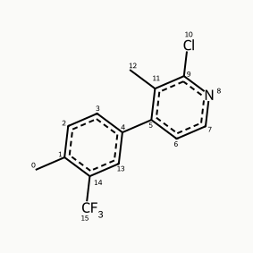 Cc1ccc(-c2ccnc(Cl)c2C)cc1C(F)(F)F